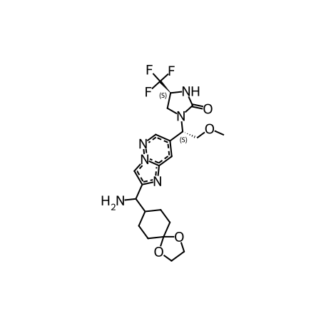 COC[C@H](c1cnn2cc(C(N)C3CCC4(CC3)OCCO4)nc2c1)N1C[C@@H](C(F)(F)F)NC1=O